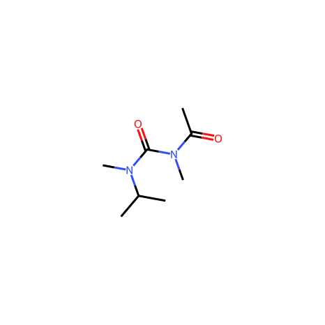 CC(=O)N(C)C(=O)N(C)C(C)C